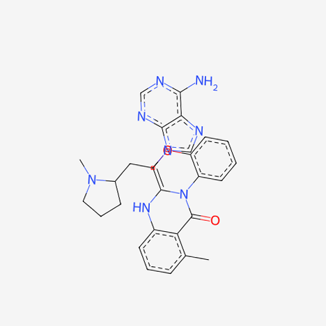 Cc1cccc2c1C(=O)N(c1ccccc1OCCC1CCCN1C)C(=Cn1cnc3c(N)ncnc31)N2